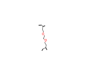 C=CC(=C)CCOCCOCCC(=C)C=C